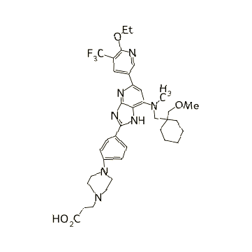 CCOc1ncc(-c2cc(N(C)CC3(COC)CCCCC3)c3[nH]c(-c4ccc(N5CCN(CCC(=O)O)CC5)cc4)nc3n2)cc1C(F)(F)F